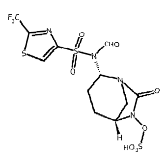 O=CN([C@H]1CC[C@@H]2CN1C(=O)N2OS(=O)(=O)O)S(=O)(=O)c1csc(C(F)(F)F)n1